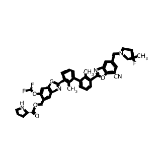 Cc1c(-c2nc3cc(COC(=O)[C@@H]4CCCN4)c(OC(F)F)cc3o2)cccc1-c1cccc(-c2nc3cc(CN4CCC(C)(F)C4)cc(C#N)c3o2)c1C